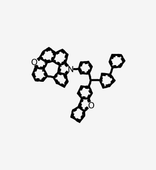 c1ccc(-c2cccc(C(c3cccc(-n4c5cccc6c5c5c7c(ccc8oc9cccc-6c9c87)ccc54)c3)c3ccc4c(c3)oc3ccccc34)c2)cc1